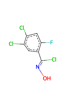 ON=C(Cl)c1cc(Cl)c(Cl)cc1F